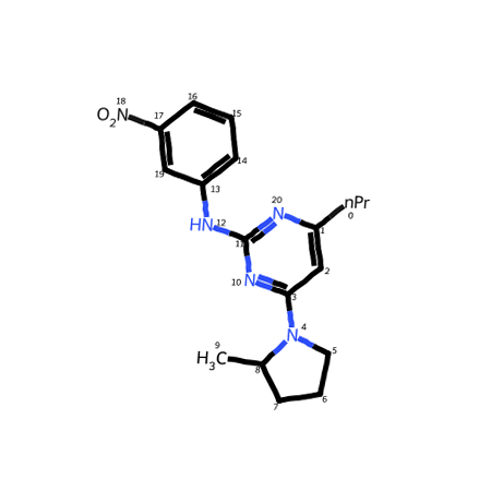 CCCc1cc(N2CCCC2C)nc(Nc2cccc([N+](=O)[O-])c2)n1